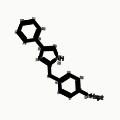 CCCCCCCc1ccc(Cc2nc(-c3ccccc3)c[nH]2)cc1